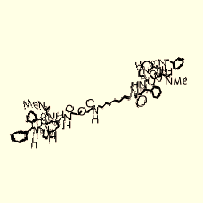 CN[C@@H](C)C(=O)N[C@@H]1C(=O)N2[C@@H](CC[C@@H]1CNC(=O)COCC(=O)NCCCCCCCCNC(=O)[C@@H](NC(=O)[C@@H]1CC[C@@H]3CC[C@H](CNCc4ccccc4)[C@H](NC(=O)[C@H](C)NC)C(=O)N31)c1ccccc1)CC[C@H]2C(=O)NC(c1ccccc1)c1ccccc1